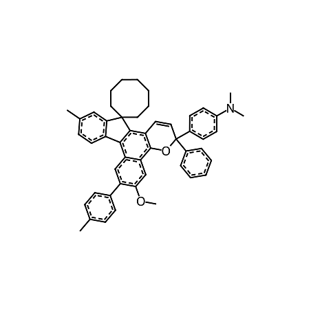 COc1cc2c3c(c4c(c2cc1-c1ccc(C)cc1)-c1ccc(C)cc1C41CCCCCCC1)C=CC(c1ccccc1)(c1ccc(N(C)C)cc1)O3